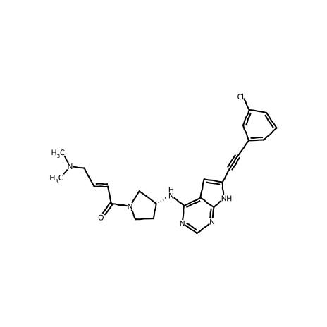 CN(C)C/C=C/C(=O)N1CC[C@@H](Nc2ncnc3[nH]c(C#Cc4cccc(Cl)c4)cc23)C1